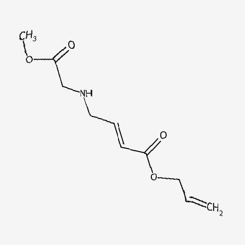 C=CCOC(=O)C=CCNCC(=O)OC